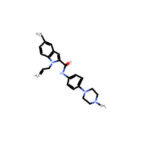 C=CCn1c(C(=O)Nc2ccc(N3CCN(C)CC3)cc2)cc2cc([N+](=O)[O-])ccc21